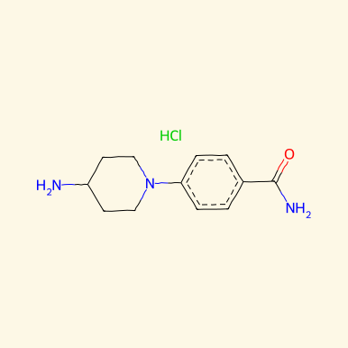 Cl.NC(=O)c1ccc(N2CCC(N)CC2)cc1